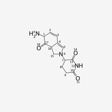 NC1C=CC2=CN(C3CCC(=O)NC3=O)CC2C1=O